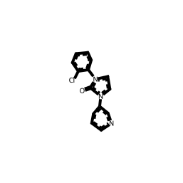 O=c1n(-c2cccnc2)ccn1-c1ccccc1Cl